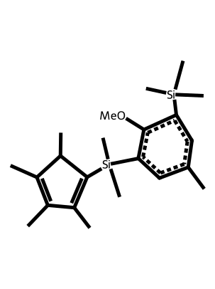 COc1c([Si](C)(C)C)cc(C)cc1[Si](C)(C)C1=C(C)C(C)=C(C)C1C